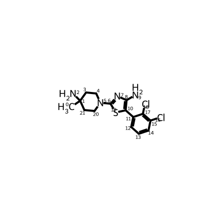 CC1(N)CCN(c2nc(N)c(-c3cccc(Cl)c3Cl)s2)CC1